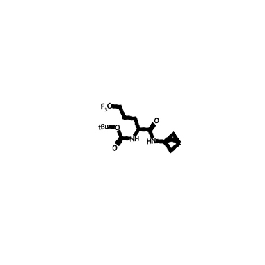 CC(C)(C)OC(=O)NC(CCCC(F)(F)F)C(=O)NC12CC(C1)C2